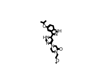 COCCN1CCN(C2=CC(C3=NNC4CC=C(OC(C)C)C=C34)NC=N2)CC1=O